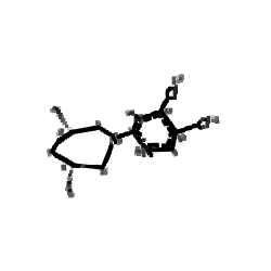 C[C@@H]1C[C@H](C)CN(c2ncc(Cl)c(Cl)n2)C1